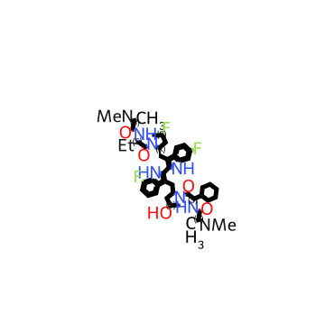 CC[C@H](NC(=O)[C@H](C)NC)C(=O)N1C[C@@H](F)C[C@H]1Cc1c(-c2[nH]c3c(F)cccc3c2CC2C[C@H](O)CN2C(=O)[C@@H](NC(=O)[C@H](C)NC)C2CCCCC2)[nH]c2cc(F)ccc12